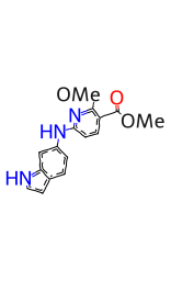 COC(=O)c1ccc(Nc2ccc3cc[nH]c3c2)nc1OC